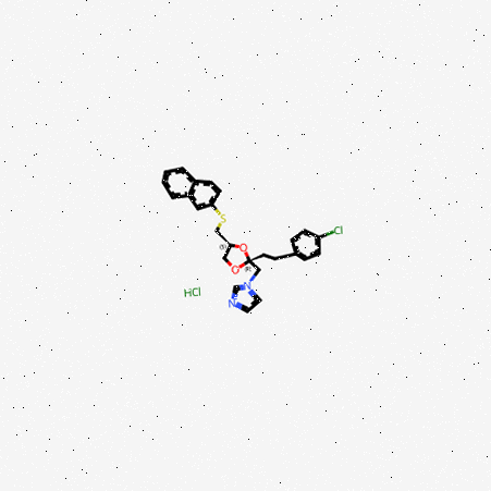 Cl.Clc1ccc(CC[C@@]2(Cn3ccnc3)OC[C@@H](CSc3ccc4ccccc4c3)O2)cc1